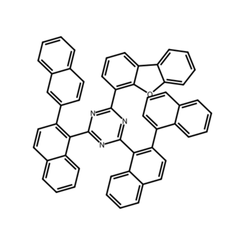 c1ccc2cc(-c3ccc4ccccc4c3-c3nc(-c4c(-c5cccc6ccccc56)ccc5ccccc45)nc(-c4cccc5c4oc4ccccc45)n3)ccc2c1